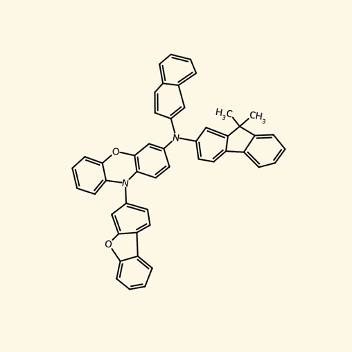 CC1(C)c2ccccc2-c2ccc(N(c3ccc4c(c3)Oc3ccccc3N4c3ccc4c(c3)oc3ccccc34)c3ccc4ccccc4c3)cc21